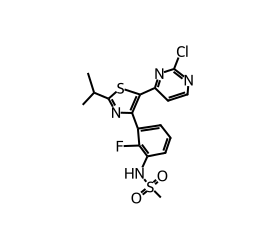 CC(C)c1nc(-c2cccc(NS(C)(=O)=O)c2F)c(-c2ccnc(Cl)n2)s1